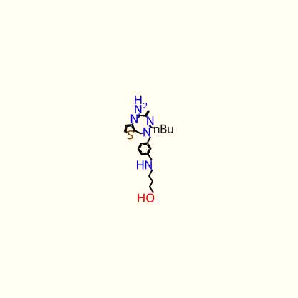 C=C1/N=C(/CCCC)N(Cc2cccc(CNCCCCCO)c2)Cc2sccc2/N=C\1N